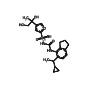 CC(c1ccc2c(c1NC(=O)N[S@](=N)(=O)c1cc(C(C)(O)CO)co1)CCC2)C1CC1